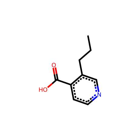 CCCc1cnccc1C(=O)O